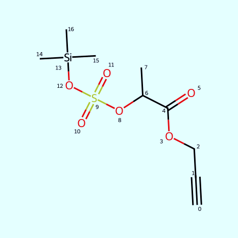 C#CCOC(=O)C(C)OS(=O)(=O)O[Si](C)(C)C